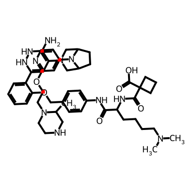 CC1CNCCN1CCOc1cc(N2C3CCC2CN(C2=C(N)NNC(c4ccccc4OCc4ccc(NC(=O)C(CCCCN(C)C)NC(=O)C5(C(=O)O)CCC5)cc4)=C2)C3)ccn1